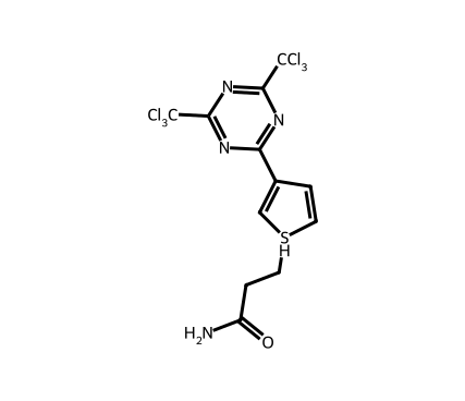 NC(=O)CC[SH]1C=CC(c2nc(C(Cl)(Cl)Cl)nc(C(Cl)(Cl)Cl)n2)=C1